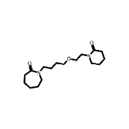 O=C1CCCCCN1CCCCOCCN1CCCCC1=O